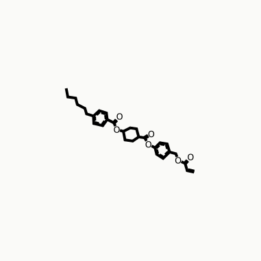 C=CC(=O)OCc1ccc(OC(=O)C2CCC(OC(=O)c3ccc(CCCCCC)cc3)CC2)cc1